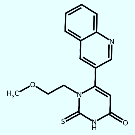 COCCn1c(-c2cnc3ccccc3c2)cc(=O)[nH]c1=S